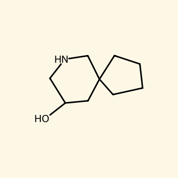 OC1CNCC2(CCCC2)C1